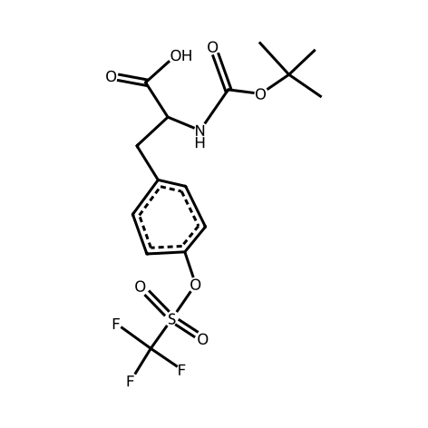 CC(C)(C)OC(=O)NC(Cc1ccc(OS(=O)(=O)C(F)(F)F)cc1)C(=O)O